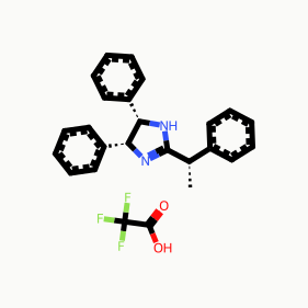 C[C@H](C1=N[C@H](c2ccccc2)[C@H](c2ccccc2)N1)c1ccccc1.O=C(O)C(F)(F)F